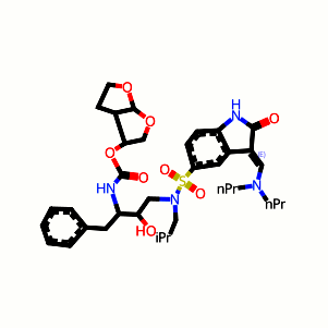 CCCN(/C=C1/C(=O)Nc2ccc(S(=O)(=O)N(CC(C)C)CC(O)C(Cc3ccccc3)NC(=O)OC3COC4OCCC34)cc21)CCC